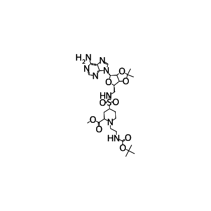 COC(=O)C1CC(S(=O)(=O)NC[C@H]2O[C@@H](n3cnc4c(N)ncnc43)C3OC(C)(C)OC32)CCN1CCNC(=O)OC(C)(C)C